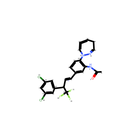 CC(=O)Nc1cc(/C=C/C(c2cc(Cl)cc(Cl)c2)C(F)(F)F)ccc1N1C=C=CCC=N1